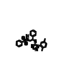 Cc1ccc(C)c(-n2ncnc2SC(CNS(=O)(=O)c2ccccc2)c2ccccc2)c1